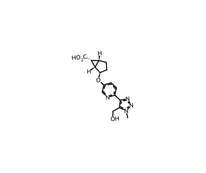 Cn1nnc(-c2ccc(O[C@@H]3CC[C@H]4[C@@H](C(=O)O)[C@H]43)cn2)c1CO